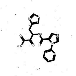 NC(=O)C(=O)C(Cc1cscn1)NC(=O)c1cncn1-c1ccccn1